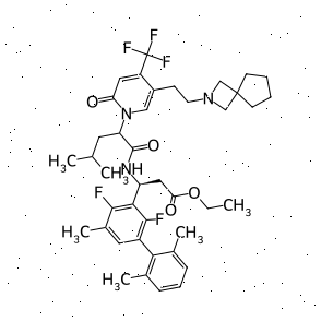 CCOC(=O)C[C@H](NC(=O)C(CC(C)C)n1cc(CCN2CC3(CCCC3)C2)c(C(F)(F)F)cc1=O)c1c(F)c(C)cc(-c2c(C)cccc2C)c1F